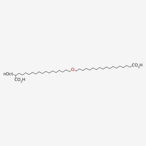 CCCCCCCCC(CCCCCCCCCCCCCCCCOCCCCCCCCCCCCCCCCCC(=O)O)C(=O)O